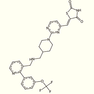 O=C1NC(=O)/C(=C/c2ccnc(N3CCC(CNCc4cccnc4-c4cccc(OC(F)(F)F)c4)CC3)n2)S1